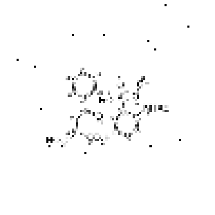 CC(=O)Nc1ccccc1[As](=O)(O)OO.O=C(CC(C(=O)O)C(=O)O)c1ccccc1